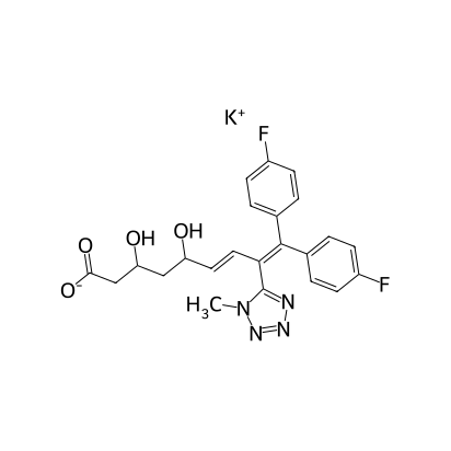 Cn1nnnc1C(C=CC(O)CC(O)CC(=O)[O-])=C(c1ccc(F)cc1)c1ccc(F)cc1.[K+]